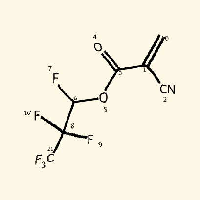 C=C(C#N)C(=O)OC(F)C(F)(F)C(F)(F)F